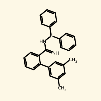 Cc1cc(C)cc(-c2ccccc2C(=N)NP(c2ccccc2)c2ccccc2)c1